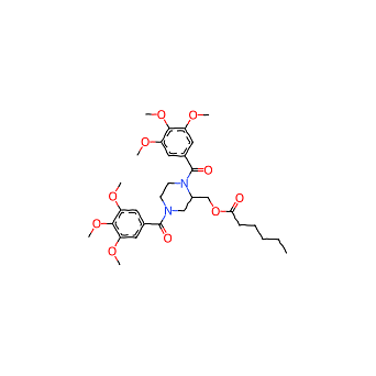 CCCCCC(=O)OCC1CN(C(=O)c2cc(OC)c(OC)c(OC)c2)CCN1C(=O)c1cc(OC)c(OC)c(OC)c1